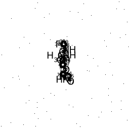 CC12Oc3ccc(Oc4ccnc5c4CCC(=O)N5)cc3[C@H]1[C@@H]2NC(=O)Nc1cccc(F)c1